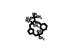 CC(C)(O)CC(C)(C)CC1CCN(CC(C)(C)CC2CCCC(C(C)(C)C)C2)C1